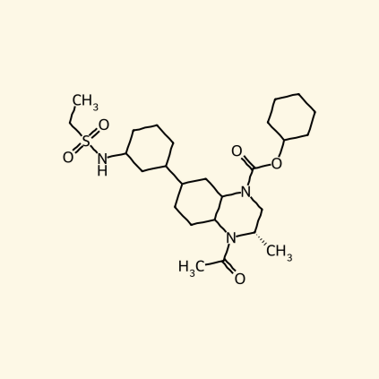 CCS(=O)(=O)NC1CCCC(C2CCC3C(C2)N(C(=O)OC2CCCCC2)C[C@H](C)N3C(C)=O)C1